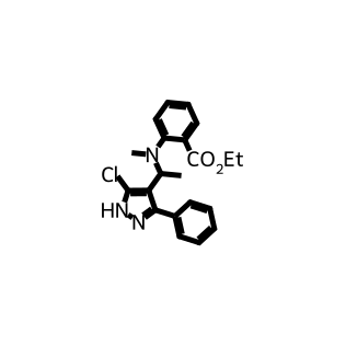 CCOC(=O)c1ccccc1N(C)C(C)c1c(-c2ccccc2)n[nH]c1Cl